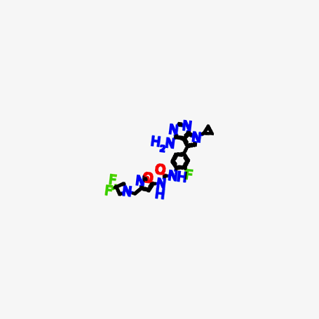 Nc1ncnc2c1c(-c1ccc(NC(=O)Nc3cc(CN4CC(F)(F)C4)no3)c(F)c1)cn2C1CC1